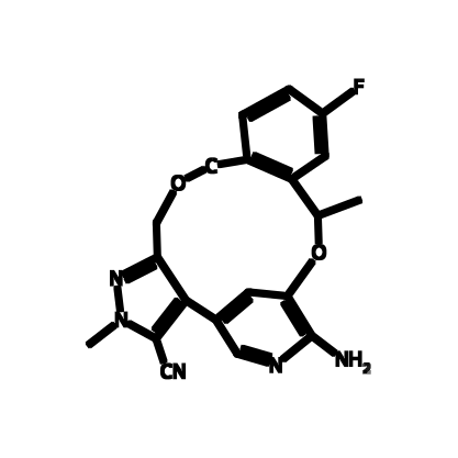 CC1Oc2cc(cnc2N)-c2c(nn(C)c2C#N)COCc2ccc(F)cc21